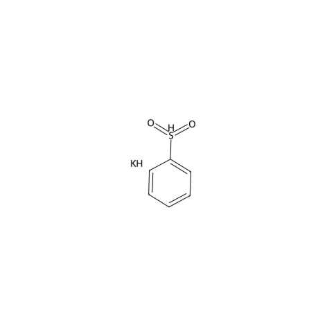 O=[SH](=O)c1ccccc1.[KH]